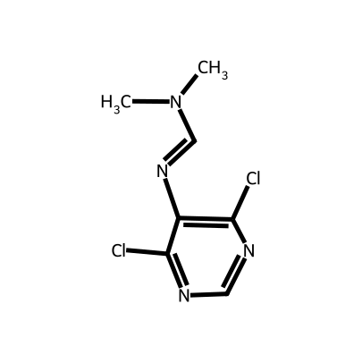 CN(C)/C=N/c1c(Cl)ncnc1Cl